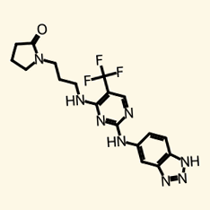 O=C1CCCN1CCCNc1nc(Nc2ccc3[nH]nnc3c2)ncc1C(F)(F)F